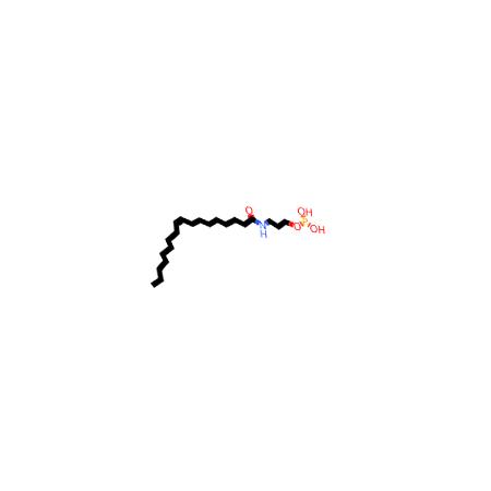 CCCCCCCC/C=C\CCCCCCCC(=O)NCCCOP(O)O